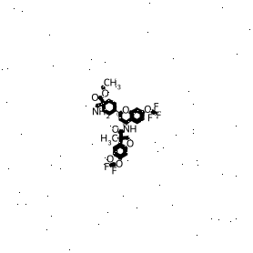 CCOC(=O)C1(CN)CCC([C@H]2C[C@@H](NC(=O)[C@@]3(C)COc4cc5c(cc43)OC(F)(F)O5)c3ccc(OC(F)(F)F)cc3O2)CC1